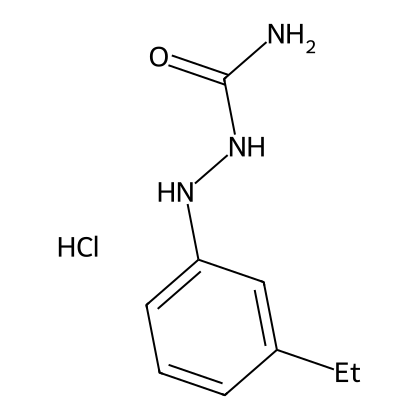 CCc1cccc(NNC(N)=O)c1.Cl